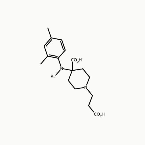 CC(=O)N(c1ccc(C)cc1C)C1(C(=O)O)CCN(CCC(=O)O)CC1